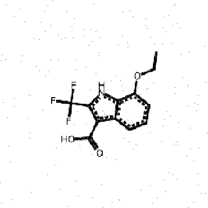 CCOc1cccc2c(C(=O)O)c(C(F)(F)F)[nH]c12